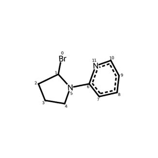 BrC1CCCN1c1ccccn1